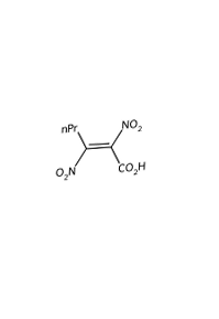 CCC/C(=C(/C(=O)O)[N+](=O)[O-])[N+](=O)[O-]